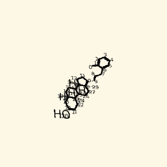 Cc1ccccc1CCC[C@H]1CC[C@H]2[C@@H]3CC[C@H]4C[C@@H](O)CC[C@]4(C)[C@H]3CC[C@]12C